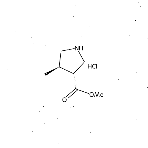 COC(=O)[C@H]1CNC[C@@H]1C.Cl